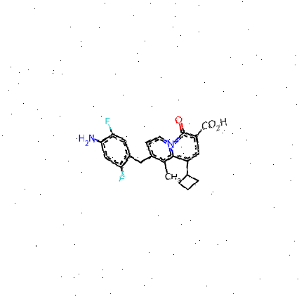 Cc1c(Cc2cc(F)c(N)cc2F)ccn2c(=O)c(C(=O)O)cc(C3CCC3)c12